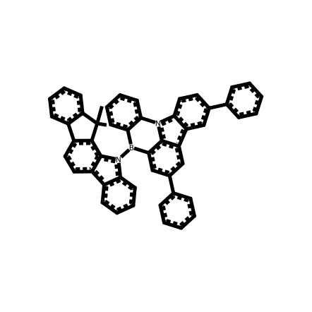 CC1(C)c2ccccc2-c2ccc3c4ccccc4n(B4c5ccccc5-n5c6ccc(-c7ccccc7)cc6c6cc(-c7ccccc7)cc4c65)c3c21